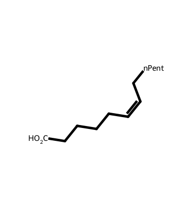 CCCCCC/C=C\CCCCC(=O)O